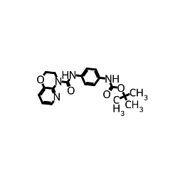 CC(C)(C)OC(=O)Nc1ccc(NC(=O)N2CCOc3cccnc32)cc1